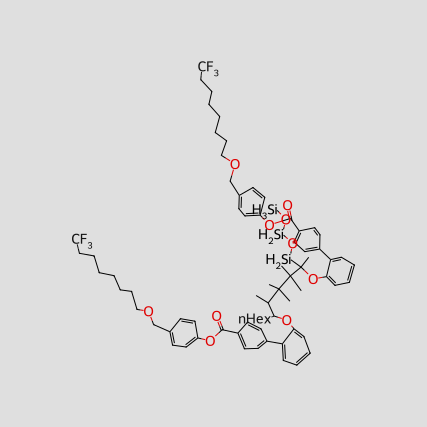 CCCCCCC(Oc1ccccc1-c1ccc(C(=O)Oc2ccc(COCCCCCCCC(F)(F)F)cc2)cc1)C(C)C(C)(C)C(C)(C)C(C)(Oc1ccccc1-c1ccc(C(=O)Oc2ccc(COCCCCCCCC(F)(F)F)cc2)cc1)[SiH2]O[SiH2]O[SiH3]